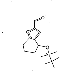 CC(C)(C)[Si](C)(C)OC1CCCc2oc(C=O)cc21